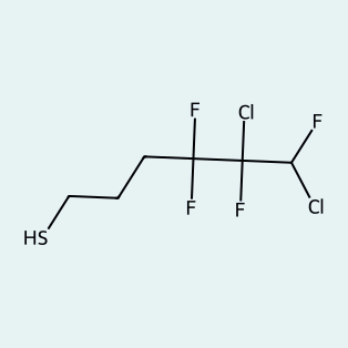 FC(Cl)C(F)(Cl)C(F)(F)CCCS